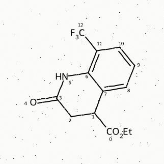 CCOC(=O)C1CC(=O)Nc2c1cccc2C(F)(F)F